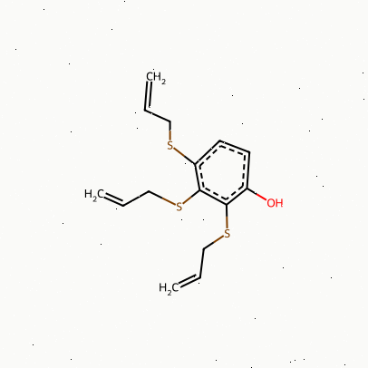 C=CCSc1ccc(O)c(SCC=C)c1SCC=C